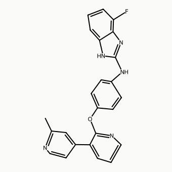 Cc1cc(-c2cccnc2Oc2ccc(Nc3nc4c(F)cccc4[nH]3)cc2)ccn1